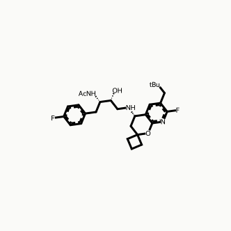 CC(=O)N[C@@H](Cc1ccc(F)cc1)[C@H](O)CN[C@H]1CC2(CCC2)Oc2nc(F)c(CC(C)(C)C)cc21